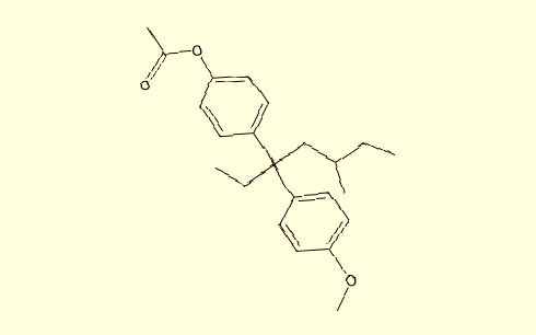 CCC(C)CC(CC)(c1ccc(OC)cc1)c1ccc(OC(C)=O)cc1